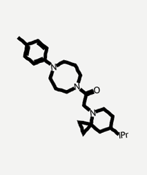 Cc1ccc(N2CCCN(C(=O)CN3CCC(C(C)C)CC34CC4)CCC2)cc1